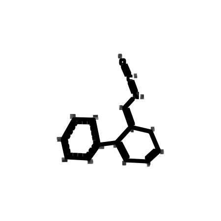 O=C=NC=C1CC=CC=C1c1ccccc1